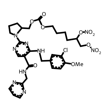 COc1ccc(CNc2nc(N3CCCC3COC(=O)OCCCCC(CO[N+](=O)[O-])O[N+](=O)[O-])ncc2C(=O)NCc2ncccn2)cc1Cl